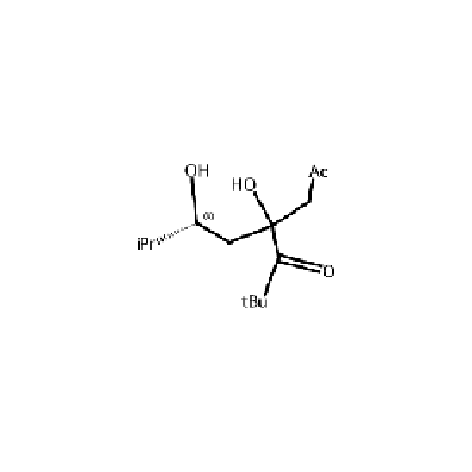 CC(=O)CC(O)(C[C@@H](O)C(C)C)C(=O)C(C)(C)C